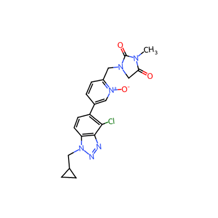 CN1C(=O)CN(Cc2ccc(-c3ccc4c(nnn4CC4CC4)c3Cl)c[n+]2[O-])C1=O